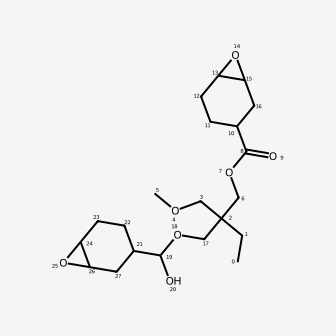 CCC(COC)(COC(=O)C1CCC2OC2C1)COC(O)C1CCC2OC2C1